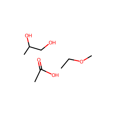 CC(=O)O.CC(O)CO.CCOC